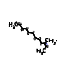 [CH2]/C(=C/C)CCCCCCCCC